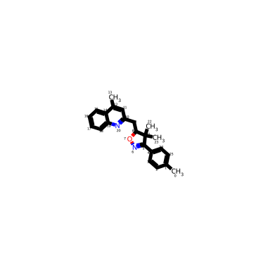 Cc1ccc(C2=NOC(Cc3cc(C)c4ccccc4n3)C2(C)C)cc1